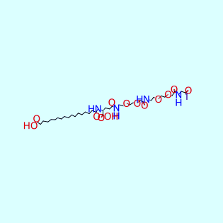 O=C(O)CCCCCCCCCCCCCCCCC(=O)N[C@@H](CCC(=O)NCCOCCOCC(=O)NCCOCCOCC(=O)NCC(=O)I)C(=O)O